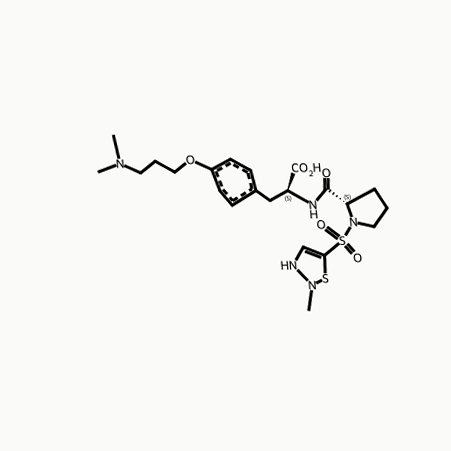 CN(C)CCCOc1ccc(C[C@H](NC(=O)[C@@H]2CCCN2S(=O)(=O)C2=CNN(C)S2)C(=O)O)cc1